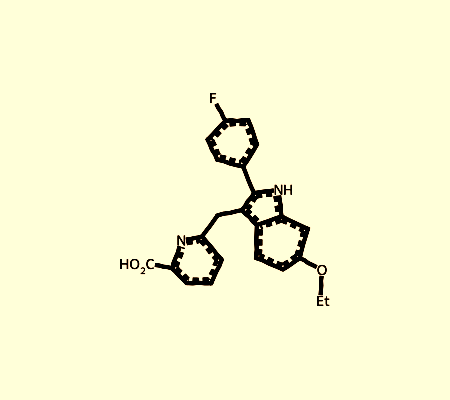 CCOc1ccc2c(Cc3cccc(C(=O)O)n3)c(-c3ccc(F)cc3)[nH]c2c1